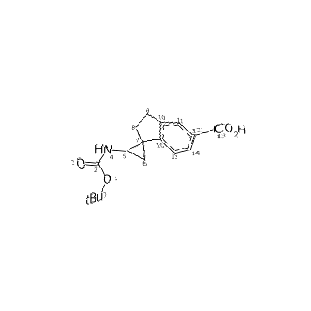 CC(C)(C)OC(=O)NC1CC12CCc1cc(C(=O)O)ccc12